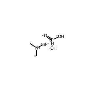 CCCN(C)C.O=[PH](O)O